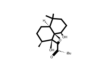 CC[C@@H](C)C(=O)C(=O)[C@]1(O)[C@@H](C)CC[C@H]2C(C)(C)CC[C@@H](O)[C@@]21C